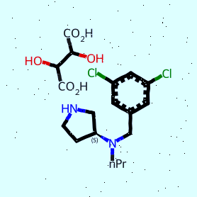 CCCN(Cc1cc(Cl)cc(Cl)c1)[C@H]1CCNC1.O=C(O)C(O)C(O)C(=O)O